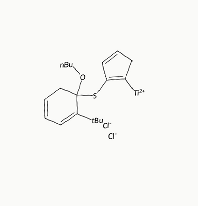 CCCCOC1(SC2=[C]([Ti+2])CC=C2)CC=CC=C1C(C)(C)C.[Cl-].[Cl-]